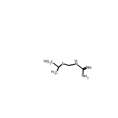 CC(SCNC(=N)N)C(=O)O